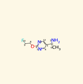 CC(N)c1cnc(OCCF)nc1